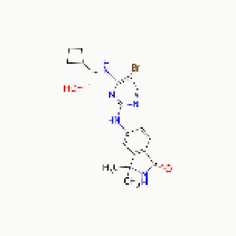 CC1(C)NC(=O)c2ccc(Nc3ncc(Br)c(N[C@H](CO)C4CCC4)n3)cc21